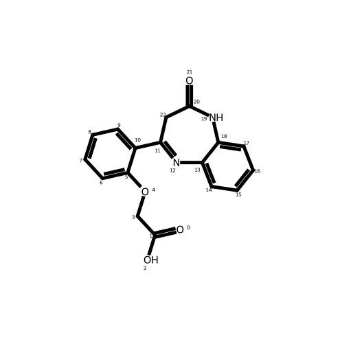 O=C(O)COc1ccccc1C1=Nc2ccccc2NC(=O)C1